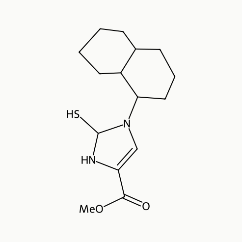 COC(=O)C1=CN(C2CCCC3CCCCC32)C(S)N1